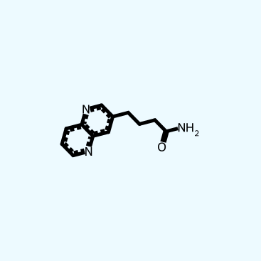 NC(=O)CCCc1cnc2cccnc2c1